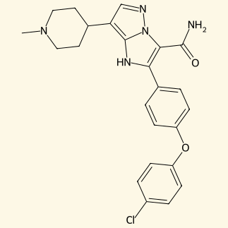 CN1CCC(c2cnn3c(C(N)=O)c(-c4ccc(Oc5ccc(Cl)cc5)cc4)[nH]c23)CC1